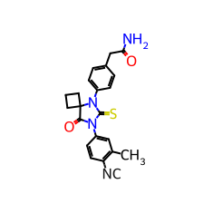 [C-]#[N+]c1ccc(N2C(=O)C3(CCC3)N(c3ccc(CC(N)=O)cc3)C2=S)cc1C